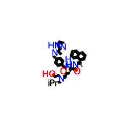 CC(C)CN(CCO)CCC[C@H](NC(=O)c1ccc(CN(C)C(C)c2ncc[nH]2)cc1)C(=O)N[C@@H](C)c1cccc2ccccc12